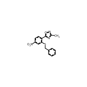 Cc1noc(-c2ccc([N+](=O)[O-])cc2SCc2ccccc2)n1